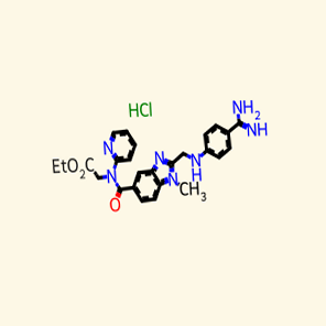 CCOC(=O)CN(C(=O)c1ccc2c(c1)nc(CNc1ccc(C(=N)N)cc1)n2C)c1ccccn1.Cl